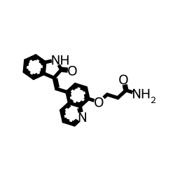 NC(=O)CCOc1ccc(C=C2C(=O)Nc3ccccc32)c2cccnc12